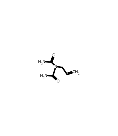 C=CCN(C(N)=O)C(N)=O